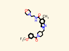 Cc1cc2nn(CC3CCN(C(=O)c4cccc(OC(F)(F)F)c4)CC3)cc2cc1C(=O)NCCN1CCOCC1